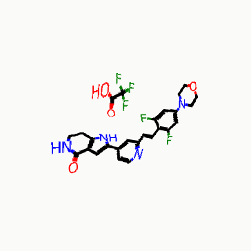 O=C(O)C(F)(F)F.O=C1NCCc2[nH]c(-c3ccnc(/C=C/c4c(F)cc(N5CCOCC5)cc4F)c3)cc21